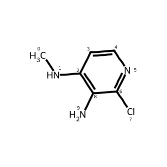 CNc1ccnc(Cl)c1N